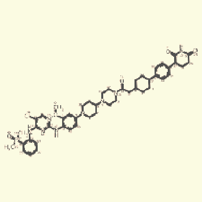 COc1cc(N2CCC(N3CCN(C(=O)CC4CCC(c5ccc(C6CCC(=O)NC6=O)cc5)CC4)CC3)CC2)ccc1Nc1ncc(Cl)c(Nc2ccccc2P(C)(C)=O)n1